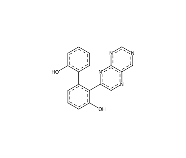 Oc1ccccc1-c1cccc(O)c1-c1cnc2cncnc2n1